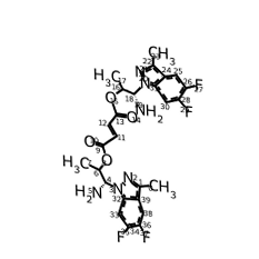 Cc1nn([C@H](N)C(C)OC(=O)/C=C/C(=O)OC(C)[C@@H](N)n2nc(C)c3cc(F)c(F)cc32)c2cc(F)c(F)cc12